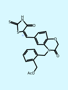 CC(=O)OCc1ccccc1CN1C(=O)COc2ccc(/C=C3/SC(=S)NC3=O)cc21